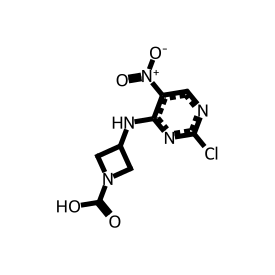 O=C(O)N1CC(Nc2nc(Cl)ncc2[N+](=O)[O-])C1